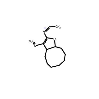 C=NC1=C(/N=C\C)OC2CCCCCCCC12